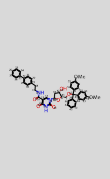 COc1ccc(C(OC[C@H]2O[C@@H](n3cc(C(=O)NCCc4ccc(-c5ccccc5)cc4)c(=O)[nH]c3=O)C[C@@H]2O)(c2ccccc2)c2ccc(OC)cc2)cc1